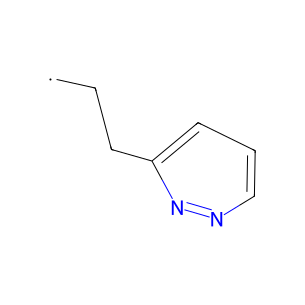 [CH2]CCc1cccnn1